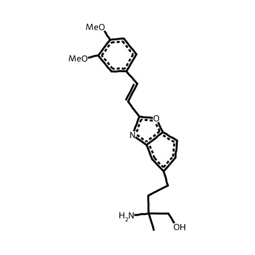 COc1ccc(C=Cc2nc3cc(CCC(C)(N)CO)ccc3o2)cc1OC